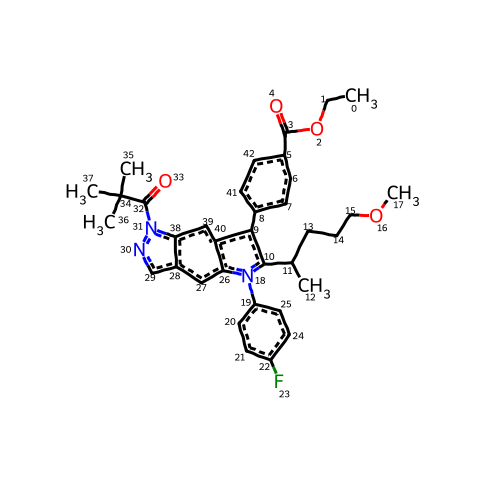 CCOC(=O)c1ccc(-c2c(C(C)CCCOC)n(-c3ccc(F)cc3)c3cc4cnn(C(=O)C(C)(C)C)c4cc23)cc1